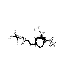 COc1ccc(CCNCC(F)(F)F)cc1OC